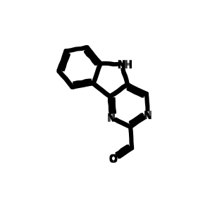 O=Cc1ncc2[nH]c3ccccc3c2n1